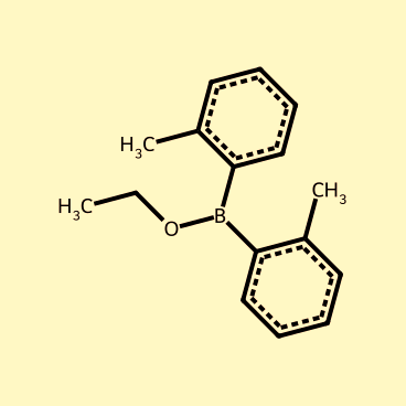 CCOB(c1ccccc1C)c1ccccc1C